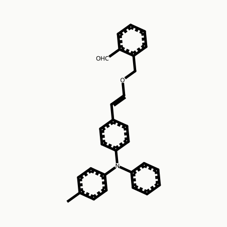 Cc1ccc(N(c2ccccc2)c2ccc(C=COCc3ccccc3C=O)cc2)cc1